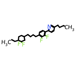 CCCCc1ccc(-c2ccc(CCCCC3CCC(CCC)C(F)(F)C3)c(F)c2F)nc1